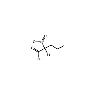 CCCC(Cl)(C(=O)O)[N+](=O)[O-]